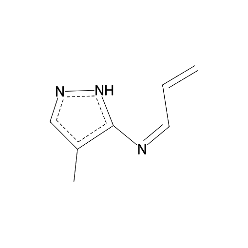 C=C/C=N\c1[nH]ncc1C